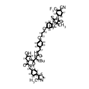 Cc1ncsc1-c1ccc(CNC(=O)[C@@H]2C[C@@H](O)CN2C(=O)C(NC(=O)CCc2ccc(OCCCOc3ccc(N4C(=S)N(c5ccc(C#N)c(C(F)(F)F)c5)C(=O)C4(C)C)cc3)cc2)C(C)(C)C)cc1